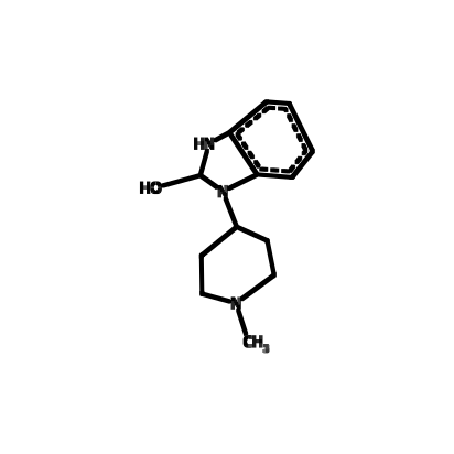 CN1CCC(N2c3ccccc3NC2O)CC1